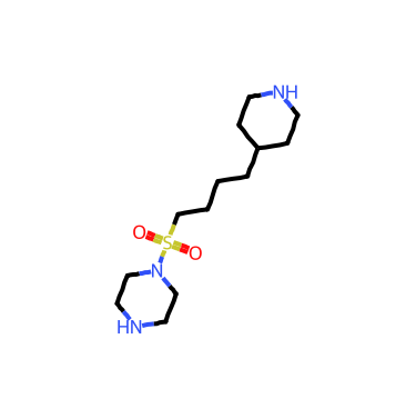 O=S(=O)(CCCCC1CCNCC1)N1CCNCC1